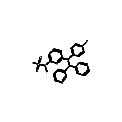 CN(c1cccc(C(c2ccc(F)cc2)C(c2cccnc2)c2cccnc2)n1)S(C)(=O)=O